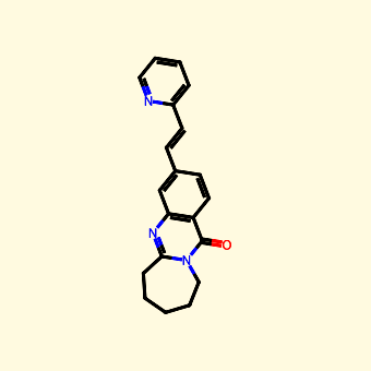 O=c1c2ccc(/C=C/c3ccccn3)cc2nc2n1CCCCC2